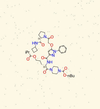 CCCCOC(=O)N1CCN(C(=O)[C@H](CCCOC(=O)C(C)C)NC(=O)c2cc(OCC(=O)N3CCC[C@H]3C(=O)NC3CCC3)n(-c3ccccc3)n2)CC1